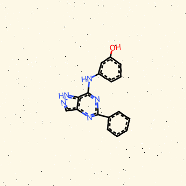 Oc1cccc(Nc2nc(-c3ccccc3)nc3cn[nH]c23)c1